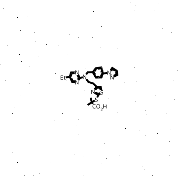 CCc1cnc(N(CCc2csc(SC(C)(C)C(=O)O)n2)Cc2ccc(-n3cccn3)cc2)nc1